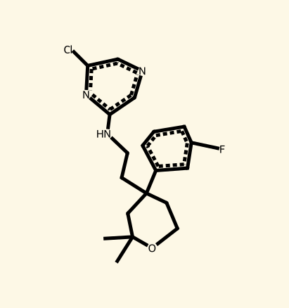 CC1(C)CC(CCNc2cncc(Cl)n2)(c2cccc(F)c2)CCO1